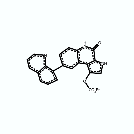 CCOC(=O)Oc1c[nH]c2c(=O)[nH]c3ccc(-c4cccc5cccnc45)cc3c12